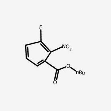 CCCCOC(=O)c1cccc(F)c1[N+](=O)[O-]